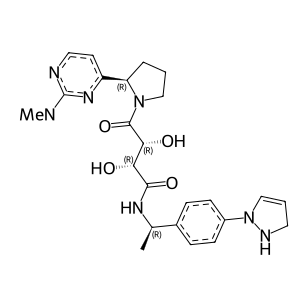 CNc1nccc([C@H]2CCCN2C(=O)[C@H](O)[C@@H](O)C(=O)N[C@H](C)c2ccc(N3C=CCN3)cc2)n1